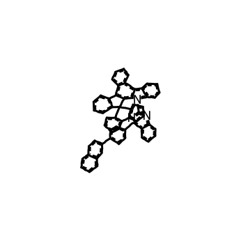 c1ccc2c(c1)-c1ccccc1C21c2ccccc2-c2c1c1c(c3ccccc23)c2ccccc2n1-c1nc(-c2ccc(-c3ccc4ccccc4c3)cc2)c2ccccc2n1